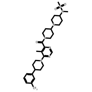 Cc1c(C(=O)N2CCC(N3CCC(N(C)S(C)(=O)=O)CC3)CC2)ncnc1N1CCC(c2cccc(C(F)(F)F)c2)CC1